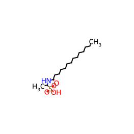 CCCCCCCCCCCCCC(=O)NC(C)S(=O)(=O)O